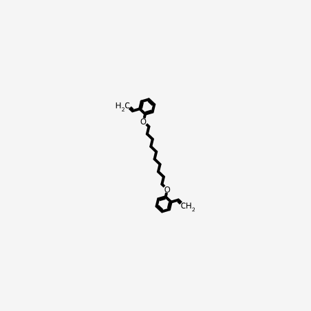 C=Cc1ccccc1OCCCCCCCCCCOc1ccccc1C=C